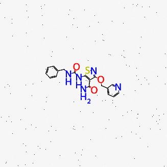 NC(=O)c1c(OCc2cccnc2)nsc1NC(=O)NCc1ccccc1